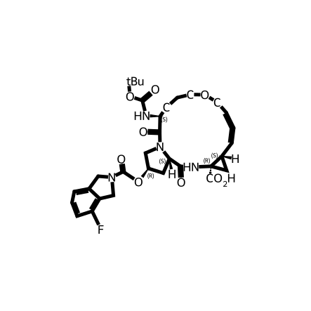 CC(C)(C)OC(=O)N[C@H]1CCCOCC=C=C[C@@H]2C[C@@]2(C(=O)O)NC(=O)[C@@H]2C[C@@H](OC(=O)N3Cc4cccc(F)c4C3)CN2C1=O